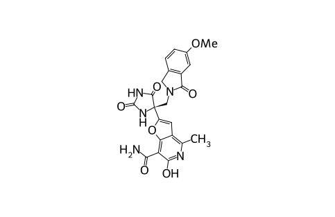 COc1ccc2c(c1)C(=O)N(C[C@@]1(c3cc4c(C)nc(O)c(C(N)=O)c4o3)NC(=O)NC1=O)C2